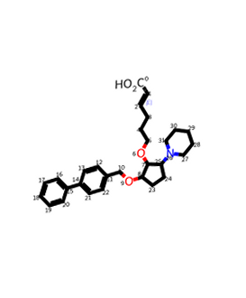 O=C(O)/C=C/CCCOC1C(OCc2ccc(-c3ccccc3)cc2)CCC1N1CCCCC1